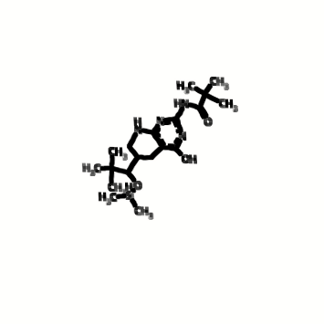 C[SiH](C)OC(C1CNc2nc(NC(=O)C(C)(C)C)nc(O)c2C1)C(C)(C)C